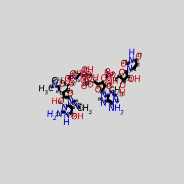 CO[C@@H]1[C@H](OP(=O)(O)OC[C@H]2O[C@@H](n3ccc(=O)[nH]c3=O)[C@H](O)[C@@H]2O)C(COP(=O)(O)OP(=O)(O)CCP(=O)(O)OC[C@H]2O[C@@H](n3c[n+](C)c4c3N=C(N)NC4O)[C@H](O)[C@@H]2CC(=O)N(C)C)O[C@H]1n1cnc2c(N)ncnc21